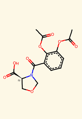 CC(=O)Oc1cccc(C(=O)N2COC[C@H]2C(=O)O)c1OC(C)=O